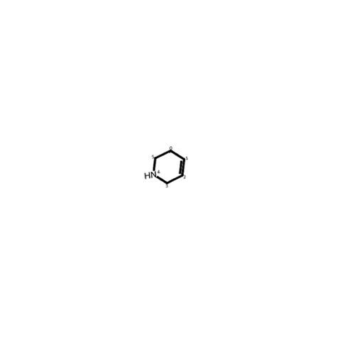 [C]1C=CCNC1